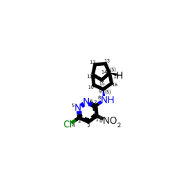 O=[N+]([O-])c1cc(Cl)nnc1N[C@H]1CC2CC[C@@H](C2)C1